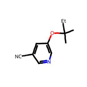 CCC(C)(C)Oc1cncc(C#N)c1